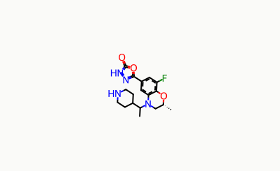 CC(C1CCNCC1)N1C[C@@H](C)Oc2c(F)cc(-c3n[nH]c(=O)o3)cc21